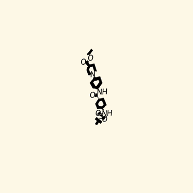 CCOC(=O)C1CCN(c2ccc(NC(=O)[C@H]3CC[C@H](NS(=O)(=O)C(C)(C)C)CC3)cc2)CC1